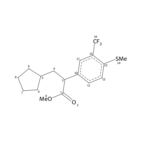 COC(=O)C(CC1CCCC1)c1ccc(SC)c(C(F)(F)F)c1